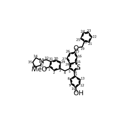 COc1cc(Cc2c(-c3ccc(O)cc3)sc3cc(OCc4ccccc4)ccc23)ccc1CN1CCCC1